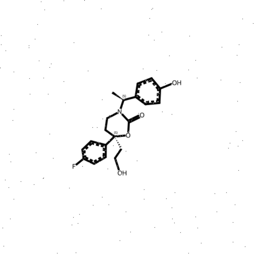 C[C@@H](c1ccc(O)cc1)N1CC[C@](CCO)(c2ccc(F)cc2)OC1=O